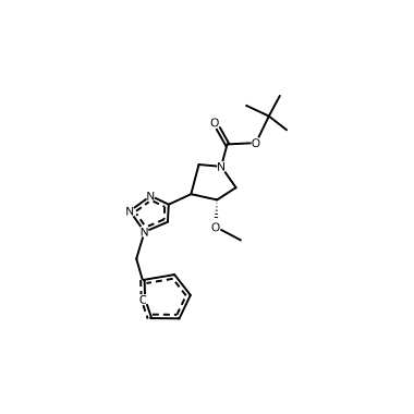 CO[C@H]1CN(C(=O)OC(C)(C)C)CC1c1cn(Cc2ccccc2)nn1